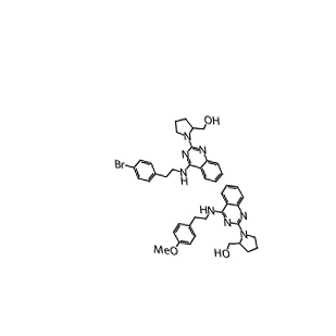 COc1ccc(CCNc2nc(N3CCCC3CO)nc3ccccc23)cc1.OCC1CCCN1c1nc(NCCc2ccc(Br)cc2)c2ccccc2n1